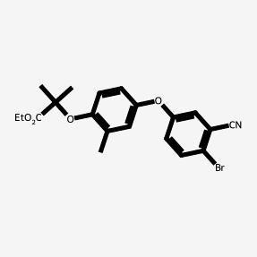 CCOC(=O)C(C)(C)Oc1ccc(Oc2ccc(Br)c(C#N)c2)cc1C